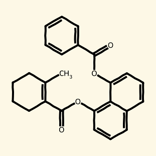 CC1=C(C(=O)Oc2cccc3cccc(OC(=O)c4ccccc4)c23)CCCC1